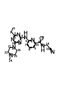 CCc1nc(Nc2cccc(C(=O)NCC#N)n2)nc(N2CCN(C)CC2)n1